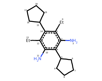 CCc1c(N)c(C2CCCC2)c(N)c(CC)c1C1CCCC1